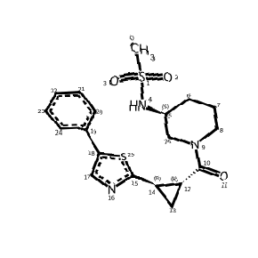 CS(=O)(=O)N[C@H]1CCCN(C(=O)[C@@H]2C[C@H]2c2ncc(-c3ccccc3)s2)C1